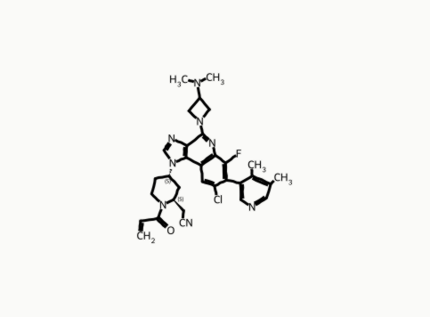 C=CC(=O)N1CC[C@H](n2cnc3c(N4CC(N(C)C)C4)nc4c(F)c(-c5cncc(C)c5C)c(Cl)cc4c32)C[C@H]1CC#N